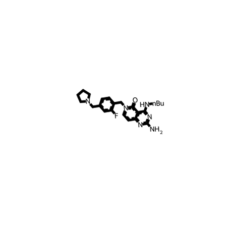 CCCCNc1nc(N)nc2ccn(Cc3ccc(CN4CCCC4)cc3F)c(=O)c12